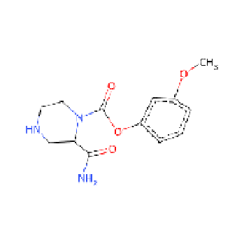 COc1cccc(OC(=O)N2CCNCC2C(N)=O)c1